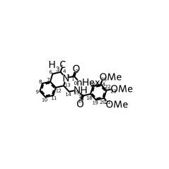 CCCCCCC(=O)N1C(C)Cc2ccccc2C1CNC(=O)c1cc(OC)c(OC)c(OC)c1